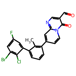 Cc1c(-c2ccn3c(=O)c(C=O)cnc3c2)cccc1-c1cc(F)cc(Br)c1Cl